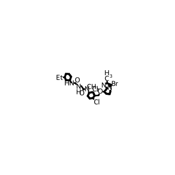 CCc1cccc(NC(=O)NCC(=O)N(C)c2ccc(Cl)c(COc3cccn4c(Br)c(C)nc34)c2Cl)c1